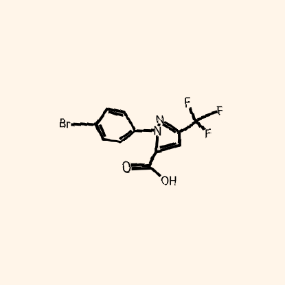 O=C(O)c1cc(C(F)(F)F)nn1-c1ccc(Br)cc1